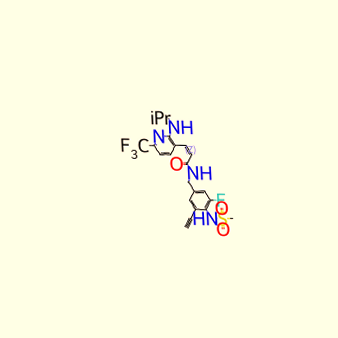 C#Cc1cc(CNC(=O)/C=C\c2ccc(C(F)(F)F)nc2NC(C)C)cc(F)c1NS(C)(=O)=O